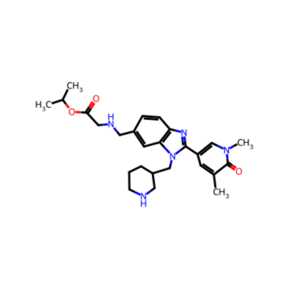 Cc1cc(-c2nc3ccc(CNCC(=O)OC(C)C)cc3n2CC2CCCNC2)cn(C)c1=O